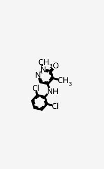 Cc1c(Nc2c(Cl)cccc2Cl)cnn(C)c1=O